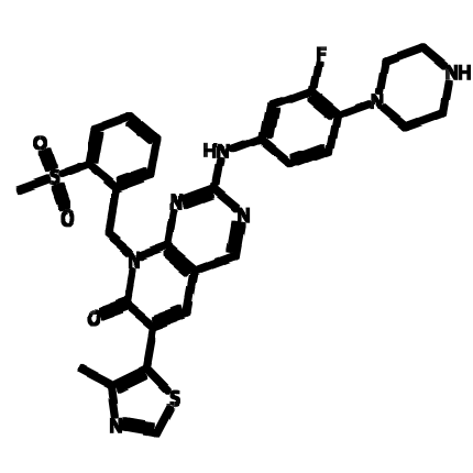 Cc1ncsc1-c1cc2cnc(Nc3ccc(N4CCNCC4)c(F)c3)nc2n(Cc2ccccc2S(C)(=O)=O)c1=O